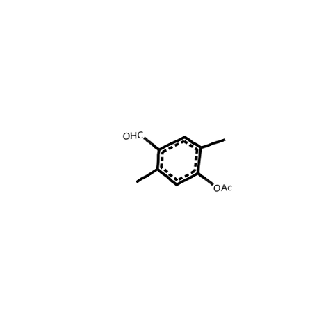 CC(=O)Oc1cc(C)c(C=O)cc1C